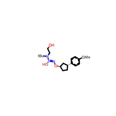 COc1ccc([C@@H]2CC[C@@H](O/N=[N+](\O)N(CCO)C(C)(C)C)C2)cc1